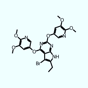 CCc1[nH]c2nc(Oc3cnc(OC)c(OC)c3)nc(Oc3cnc(OC)c(OC)c3)c2c1Br